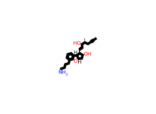 CC#CC[C@@H](C)[C@@H](O)/C=C/[C@@H]1[C@H]2c3cccc(CCCCN)c3O[C@H]2C[C@H]1O